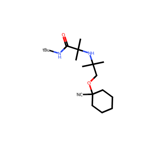 CC(C)(C)NC(=O)C(C)(C)NC(C)(C)COC1(C#N)CCCCC1